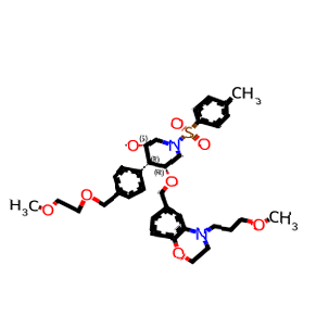 COCCCN1CCOc2ccc(CO[C@H]3CN(S(=O)(=O)c4ccc(C)cc4)C[C@@H]([O])[C@H]3c3ccc(COCCOC)cc3)cc21